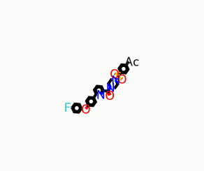 CC(=O)c1ccc(S(=O)(=O)N2CCN(C(=O)c3cccc(-c4ccc(Oc5ccc(F)cc5)cc4)n3)CC2)cc1